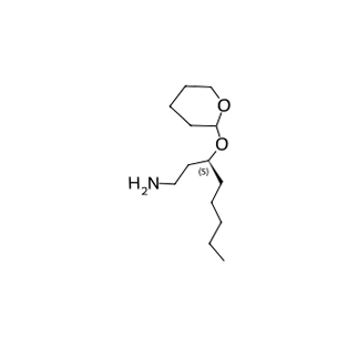 CCCCC[C@@H](CCN)OC1CCCCO1